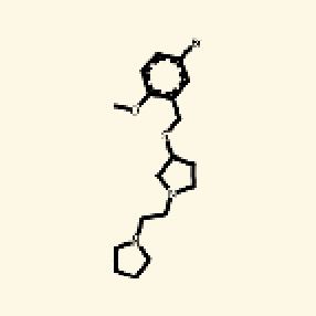 COc1ccc(Br)cc1CSC1CCN(CCN2CCCC2)C1